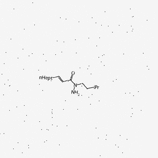 CCCCCCC/C=C/C(=O)N(N)CCC(C)C